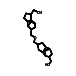 OCC1CC2CC1C1CC(COCC3CC4CC3C3CCC(CO)C43)CC21